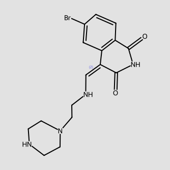 O=C1NC(=O)c2ccc(Br)cc2/C1=C/NCCN1CCNCC1